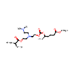 CCCCCCCOC(=O)CCCC(CCCCCC)OC(=O)OCCN(CCOC(=O)C(CCCCCCC)CCCCCCC)CCN(CC)CC